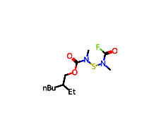 CCCCC(CC)COC(=O)N(C)SN(C)C(=O)F